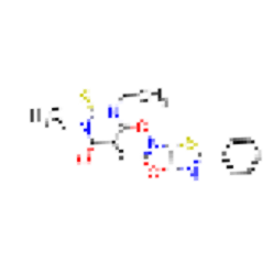 CCN1C(=O)C(=Cc2nc3sc(-c4ccccc4)nc3o2)C(=O)N(CC)C1=S